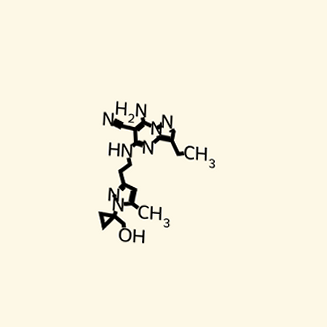 CCc1cnn2c(N)c(C#N)c(NCCc3cc(C)n(C4(CO)CC4)n3)nc12